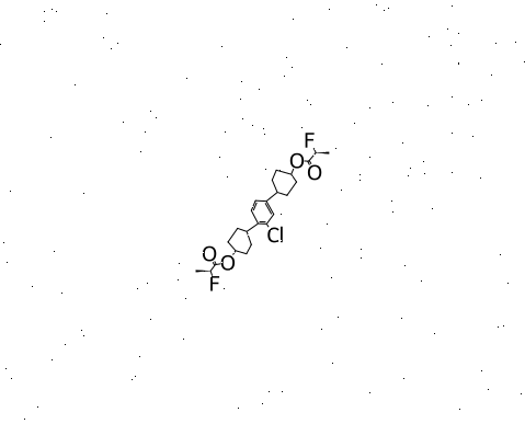 C[C@H](F)C(=O)OC1CCC(c2ccc(C3CCC(OC(=O)[C@H](C)F)CC3)c(Cl)c2)CC1